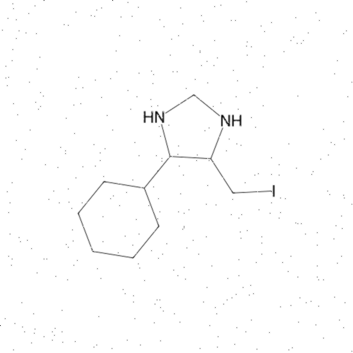 ICC1NCNC1C1CCCCC1